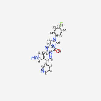 CC(c1cccnc1)C1CNCC1C1=NC2=CN(c3ccc(F)cc3)CN2C(=O)N1